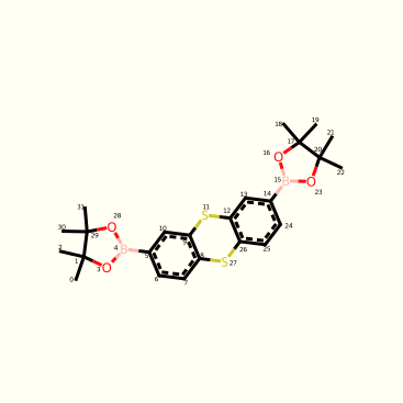 CC1(C)OB(c2ccc3c(c2)Sc2cc(B4OC(C)(C)C(C)(C)O4)ccc2S3)OC1(C)C